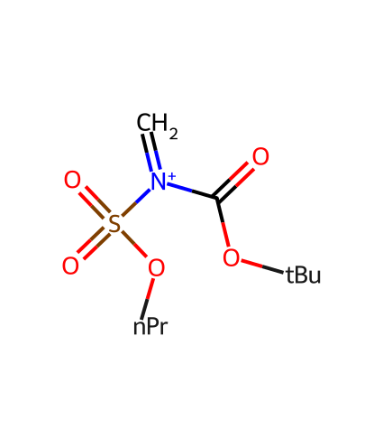 C=[N+](C(=O)OC(C)(C)C)S(=O)(=O)OCCC